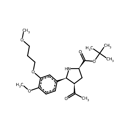 COCCCOc1cc([C@H]2N[C@@H](C(=O)OC(C)(C)C)C[C@H]2C(C)=O)ccc1OC